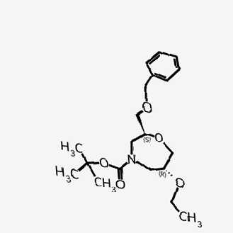 CCO[C@H]1CO[C@H](COCc2ccccc2)CN(C(=O)OC(C)(C)C)C1